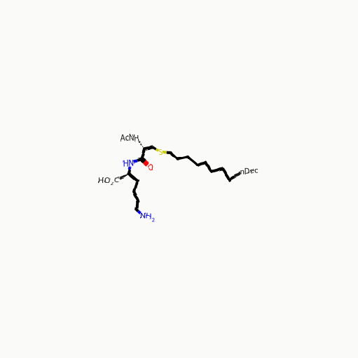 CCCCCCCCCCCCCCCCCCSC[C@@H](NC(C)=O)C(=O)N[C@@H](CCCCN)C(=O)O